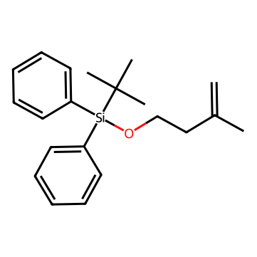 C=C(C)CCO[Si](c1ccccc1)(c1ccccc1)C(C)(C)C